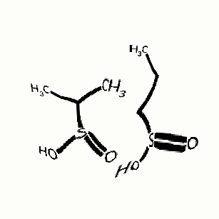 CC(C)S(=O)O.CCCS(=O)O